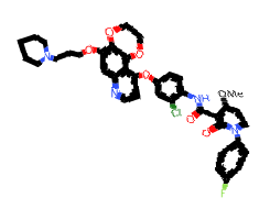 COc1ccn(-c2ccc(F)cc2)c(=O)c1C(=O)Nc1ccc(Oc2ccnc3cc(OCCCN4CCCCC4)c4c(c23)OCCO4)cc1Cl